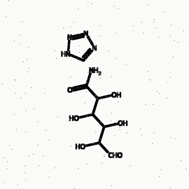 NC(=O)C(O)C(O)C(O)C(O)C=O.c1nnn[nH]1